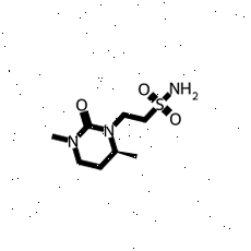 C[C@H]1CCN(C)C(=O)N1CCS(N)(=O)=O